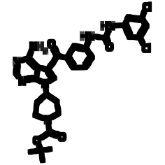 CC(C)(C)OC(=O)N1CCC(n2cc(C(=O)c3cccc(NC(=O)Nc4cc(Cl)cc(Cl)c4)c3)c3c(N)ncnc32)CC1